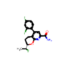 CC(F)[C@@H]1CCc2c(-c3ccc(F)cc3F)cc(C(N)=O)nc2O1